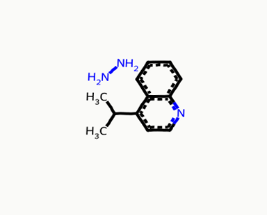 CC(C)c1ccnc2ccccc12.NN